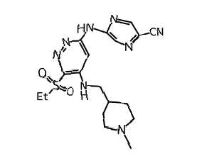 CCS(=O)(=O)c1nnc(Nc2cnc(C#N)cn2)cc1NCC1CCN(C)CC1